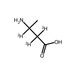 [2H]C(C)(N)C([2H])([2H])C(=O)O